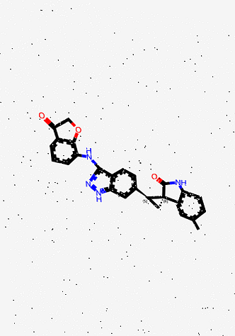 Cc1ccc2c(c1)[C@]1(C[C@H]1c1ccc3c(Nc4cccc5c4OCC5=O)n[nH]c3c1)C(=O)N2